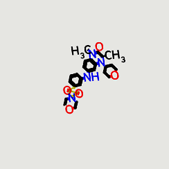 C[C@@H]1C(=O)N(C)c2ccc(Nc3cccc(S(=O)(=O)N4CCOCC4)c3)cc2N1C1CCOCC1